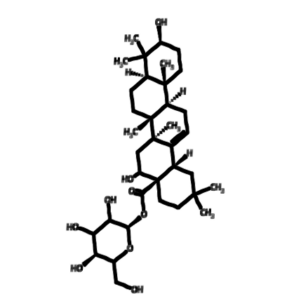 CC1(C)CC[C@]2(C(=O)O[C@H]3OC(CO)[C@@H](O)C(O)C3O)C(O)C[C@]3(C)C(=CC[C@@H]4[C@@]5(C)CC[C@H](O)C(C)(C)[C@@H]5CC[C@]43C)[C@@H]2C1